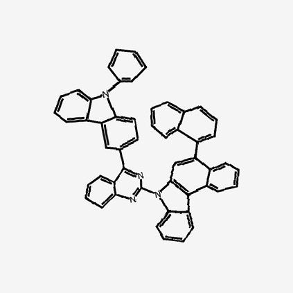 c1ccc(-n2c3ccccc3c3cc(-c4nc(-n5c6ccccc6c6c7ccccc7c(-c7cccc8ccccc78)cc65)nc5ccccc45)ccc32)cc1